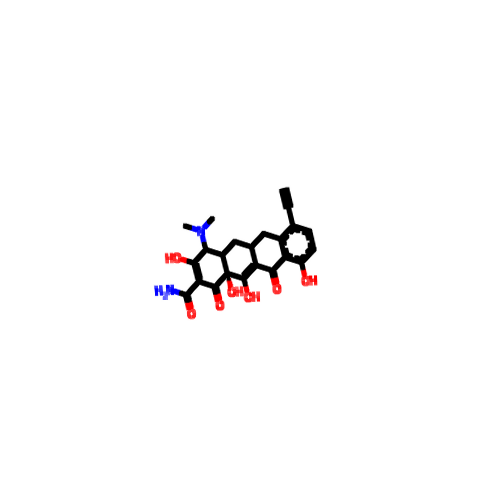 C#Cc1ccc(O)c2c1CC1CC3C(N(C)C)C(O)=C(C(N)=O)C(=O)[C@@]3(O)C(O)=C1C2=O